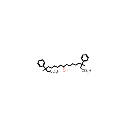 CC(CCCCCC(O)CCCCC[C@](C)(CC(=O)O)c1ccccc1)(CC(=O)O)c1ccccc1